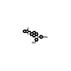 CC(C)(C)c1ccc(N(c2ccc(C(C)(C)C)cc2)c2ccc3ccc4c(C=C5C(=O)c6ccccc6C5=O)ccc5ccc2c3c54)cc1